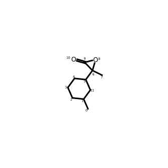 CC1CCCC(C2(C)OC2=O)C1